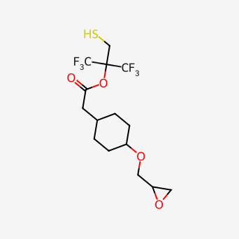 O=C(CC1CCC(OCC2CO2)CC1)OC(CS)(C(F)(F)F)C(F)(F)F